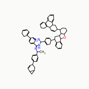 CC(/N=C(\NC(N)C1=CCC(C2CC3C(OC4CCCC(C5C=CC6C7=C(C=CCC7)c7ccccc7C6C5)C43)c3ccccc32)C=C1)c1ccc(C2=CC=CCC2)cc1)c1ccc(C2C=CC3CC3C2)cc1